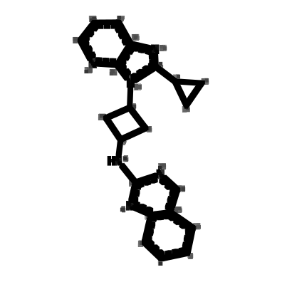 c1ccc2nc(NC3CC(n4c(C5CC5)nc5cccnc54)C3)ncc2c1